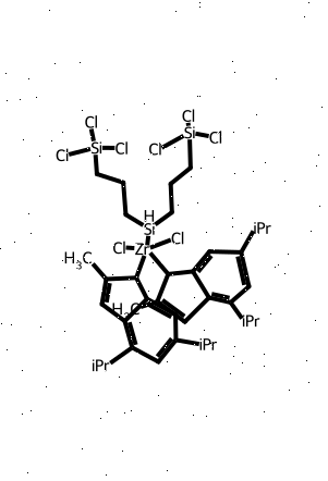 CC1=Cc2c(C(C)C)cc(C(C)C)cc2[CH]1[Zr]([Cl])([Cl])([CH]1C(C)=Cc2c(C(C)C)cc(C(C)C)cc21)[SiH](CCC[Si](Cl)(Cl)Cl)CCC[Si](Cl)(Cl)Cl